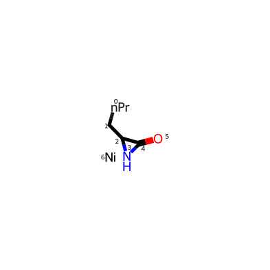 CCCCC1NC1=O.[Ni]